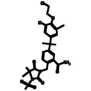 Cc1cc(C(C)(C)c2ccc(CN3C(=O)N(S(C)(=O)=O)C(C)(C)C3=O)c(C(N)=O)c2)cc(Cl)c1OCCCl